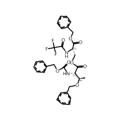 C[C@@H](OCc1ccccc1)[C@H](NC(=O)OCc1ccccc1)C(=O)OC[C@H](NC(=O)C(F)(F)F)C(=O)OCc1ccccc1